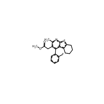 COC(=O)Cc1c(C)nc2sc3c(c2c1-c1ccccc1F)CCCC3